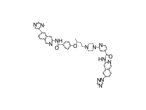 CC(CCN1CCN(c2cc(C(=O)Nc3cc4cc(-n5cncn5)ccc4cn3)ccn2)CC1)Oc1ccc(C(=O)Nc2cc3cc(-c4cncn4C)ccc3cn2)cc1